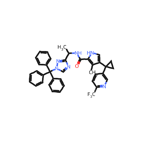 Cc1c(C2(c3ccc(C(F)(F)F)nc3)CC2)c[nH]c1C(=O)NC(C)c1ncn(C(c2ccccc2)(c2ccccc2)c2ccccc2)n1